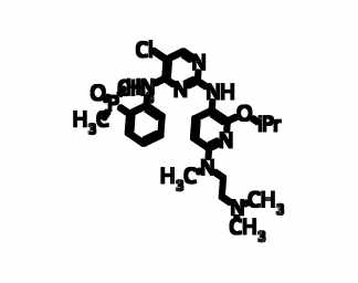 CC(C)Oc1nc(N(C)CCN(C)C)ccc1Nc1ncc(Cl)c(Nc2ccccc2P(C)(C)=O)n1